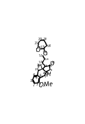 COc1cccc2c1C[C@H]1CC(=O)C(CCCOC3CCCCO3)[C@H]1C2